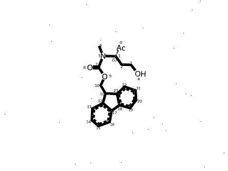 CC(=O)[C@H](CCO)N(C)C(=O)OCC1c2ccccc2-c2ccccc21